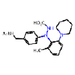 CC(=O)NCc1ccc(N(NC(=O)O)c2c(C)cccc2N2CCCCC2)cc1